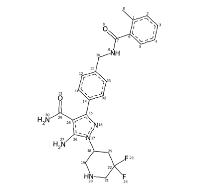 Cc1ccccc1C(=O)NCc1ccc(-c2nn(C3CNCC(F)(F)C3)c(N)c2C(N)=O)cc1